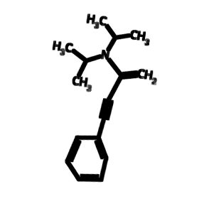 C=C(C#Cc1ccccc1)N(C(C)C)C(C)C